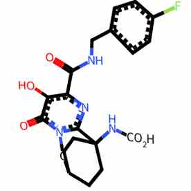 O=C(O)NC12CCC(CC1)Cn1c2nc(C(=O)NCc2ccc(F)cc2)c(O)c1=O